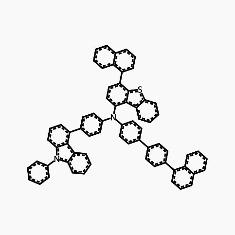 c1ccc(-n2c3ccccc3c3c(-c4ccc(N(c5ccc(-c6ccc(-c7cccc8ccccc78)cc6)cc5)c5ccc(-c6cccc7ccccc67)c6sc7ccccc7c56)cc4)cccc32)cc1